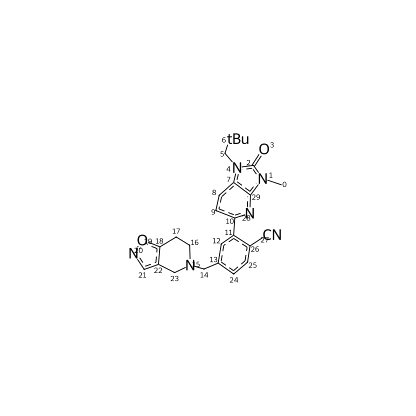 Cn1c(=O)n(CC(C)(C)C)c2ccc(-c3cc(CN4CCc5oncc5C4)ccc3C#N)nc21